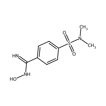 CN(C)S(=O)(=O)c1ccc(C(=N)NO)cc1